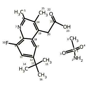 CS(N)(=O)=O.Cc1nc2c(F)cc(C(C)(C)C)cc2c(CC(=O)O)c1C